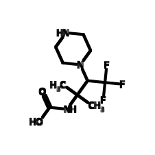 CC(C)(NC(=O)O)C(N1CCNCC1)C(F)(F)F